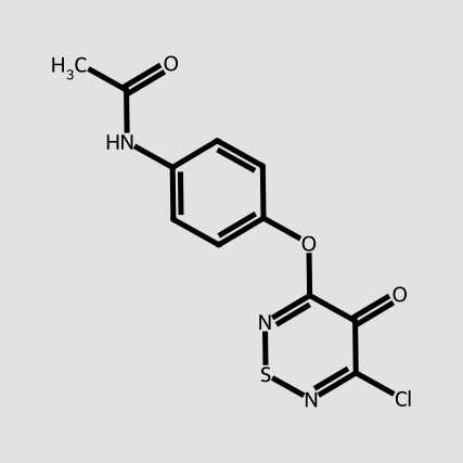 CC(=O)Nc1ccc(Oc2nsnc(Cl)c2=O)cc1